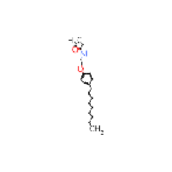 C=CC(=O)NCCOc1ccc(CCCCCCCCC)cc1